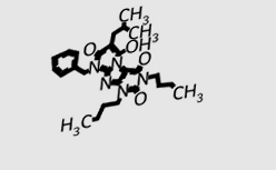 CCCCn1c(=O)c2c(nc3n(Cc4ccccc4)c(=O)c(CC(C)C)c(O)n23)n(CCCC)c1=O